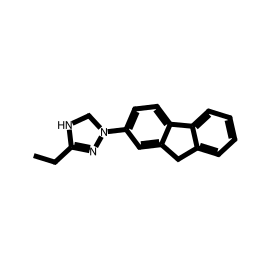 CCC1=NN(c2ccc3c(c2)Cc2ccccc2-3)CN1